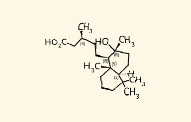 C[C@@H](CC[C@@H]1[C@@]2(C)CCCC(C)(C)[C@@H]2CC[C@@]1(C)O)CC(=O)O